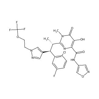 C[C@H](c1nc(C(=O)Nc2cnoc2)c(O)c(=O)n1C)[C@H](c1cnn(CCOC(F)(F)F)c1)c1cc(F)ccc1Cl